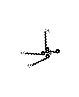 CCCCCCCCCCCCc1ccc(C=CC2(c3ccc(CCCCCCCCCCCC)cc3)CC(C=Cc3ccccc3)=NN2c2ccc(CCCCCCCCCCCC)cc2)cc1